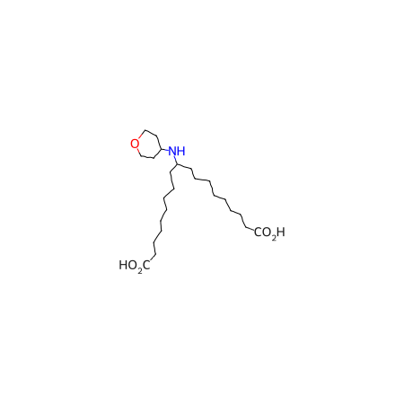 O=C(O)CCCCCCCCC(CCCCCCCCC(=O)O)NC1CCOCC1